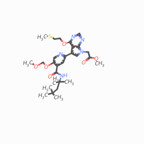 COCOc1cnc(-c2cn(CC(=O)OC)c3ncnc(OCCSC)c23)cc1C(=O)NC(C)(C)CC(C)(C)C